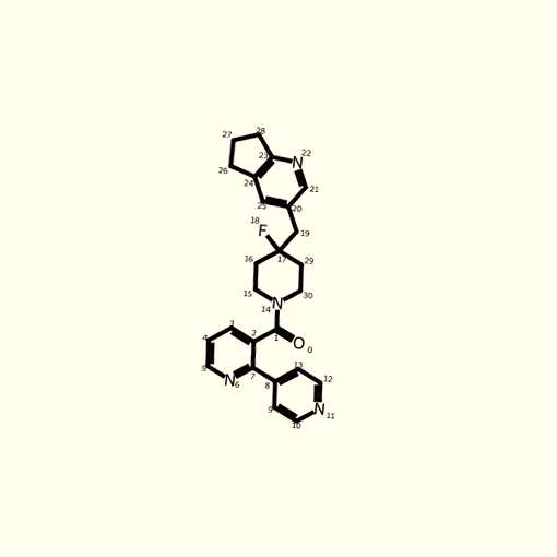 O=C(c1cccnc1-c1ccncc1)N1CCC(F)(Cc2cnc3c(c2)CCC3)CC1